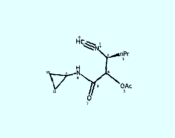 C#[N+][C@@H](CCC)C(OC(C)=O)C(=O)NC1CC1